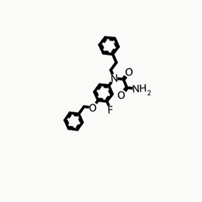 NC(=O)C(=O)N(CCc1ccccc1)c1ccc(OCc2ccccc2)c(F)c1